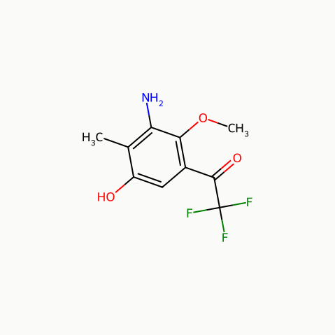 COc1c(C(=O)C(F)(F)F)cc(O)c(C)c1N